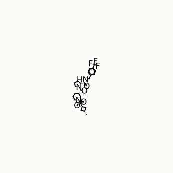 C[C@H]1C[C@H](S(=O)(=O)N2CCC[C@H](C(=O)N3CCC[C@@H]3C(=O)NCc3ccc(C(F)(F)F)cc3)C2)C1